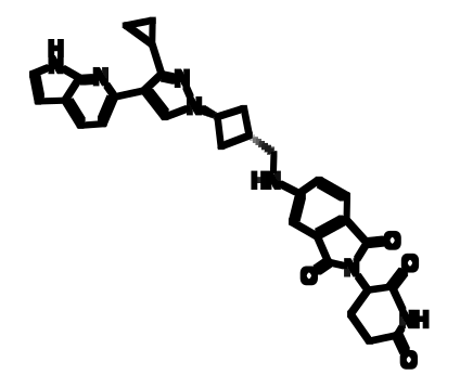 O=C1CCC(N2C(=O)c3ccc(NC[C@H]4C[C@H](n5cc(-c6ccc7cc[nH]c7n6)c(C6CC6)n5)C4)cc3C2=O)C(=O)N1